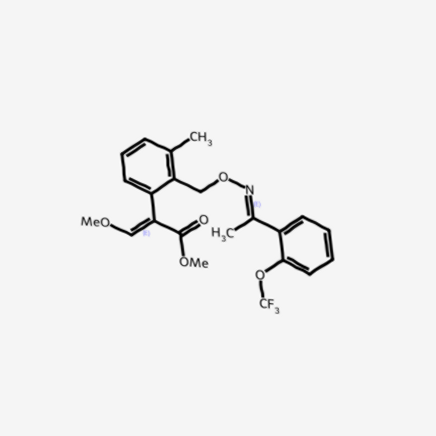 CO/C=C(/C(=O)OC)c1cccc(C)c1CO/N=C(\C)c1ccccc1OC(F)(F)F